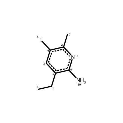 CCc1cc(I)c(C)nc1N